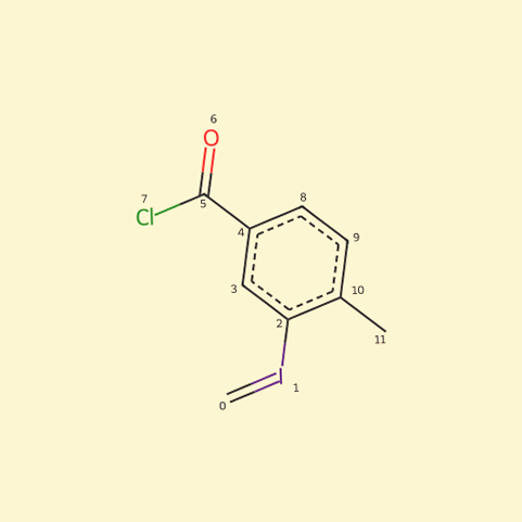 C=Ic1cc(C(=O)Cl)ccc1C